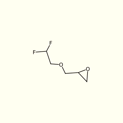 FC(F)COCC1CO1